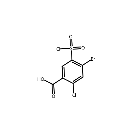 O=C(O)c1cc(S(=O)(=O)Cl)c(Br)cc1Cl